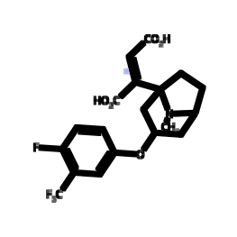 CN1C2CCC1(/C(=C\C(=O)O)C(=O)O)CC(Oc1ccc(F)c(C(F)(F)F)c1)C2